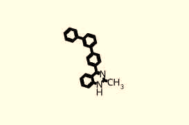 CC1N=C(c2ccc(-c3cccc(-c4ccccc4)c3)cc2)c2ccccc2N1